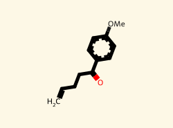 C=CCCC(=O)c1ccc(OC)cc1